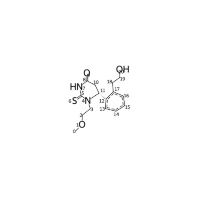 COCCN1C(=S)NC(=O)C[C@@H]1c1ccccc1CCO